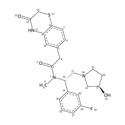 CN(C(=O)Cc1ccc2c(c1)NC(=O)CS2)[C@H](CN1CC[C@@H](O)C1)c1cccc(F)c1